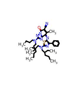 CCCCC(CC)CN(CC(CC)CCCC)c1nc(-c2ccccc2)c(/N=C2/C(C)=C(C#N)C(=O)n3nc(N(CCCC)CCCC)nc32)s1